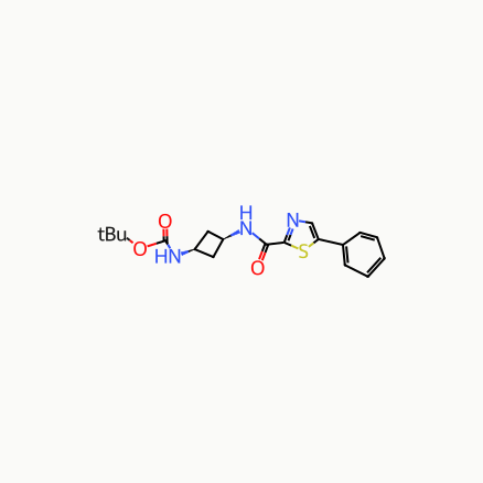 CC(C)(C)OC(=O)N[C@H]1C[C@@H](NC(=O)c2ncc(-c3ccccc3)s2)C1